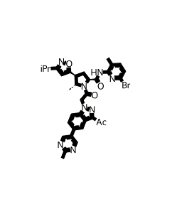 CC(=O)c1nn(CC(=O)N2[C@H](C)[C@@H](c3cc(C(C)C)no3)C[C@H]2C(=O)Nc2nc(Br)ccc2C)c2ccc(-c3cnc(C)nc3)cc12